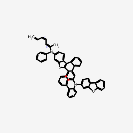 C=C/C=C\C=C(/C)N(c1ccccc1)c1ccc2c(c1)sc1c3ccc(N(c4ccc5c(c4)oc4ccccc45)c4ccccc4-c4ccccc4)cc3c3ccccc3c21